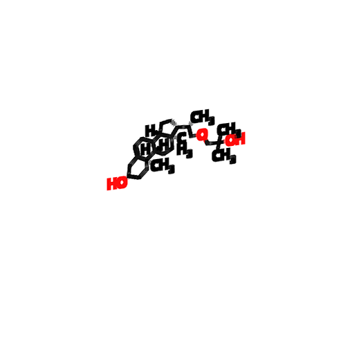 C[C@H](COCC(C)(C)O)[C@H]1CC[C@H]2[C@@H]3CC=C4C[C@@H](O)CC[C@]4(C)[C@H]3CC[C@]12C